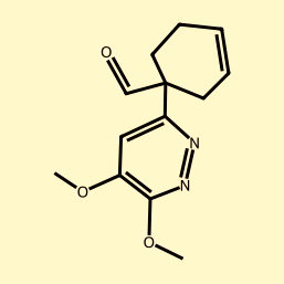 COc1cc(C2(C=O)CC=CCC2)nnc1OC